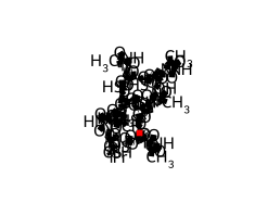 Cc1cn([C@H]2C[C@H](O[P@](=O)(S)OC[C@H]3O[C@@H](n4cc(C)c(=O)[nH]c4=O)C[C@@H]3O[P@](=O)(S)OC[C@H]3O[C@@H](n4cc(C)c(=O)[nH]c4=O)C[C@@H]3O[P@](=O)(S)OC[C@H]3O[C@@H](n4cc(C)c(=O)[nH]c4=O)C[C@@H]3O[P@](=O)(S)OC[C@H]3O[C@@H](n4cc(C)c(=O)[nH]c4=O)C[C@@H]3O[P@](=O)(S)OC[C@H]3O[C@@H](n4cc(C)c(=O)[nH]c4=O)C[C@@H]3O[P@](=O)(S)OC(C)C)[C@@H](CO)O2)c(=O)[nH]c1=O